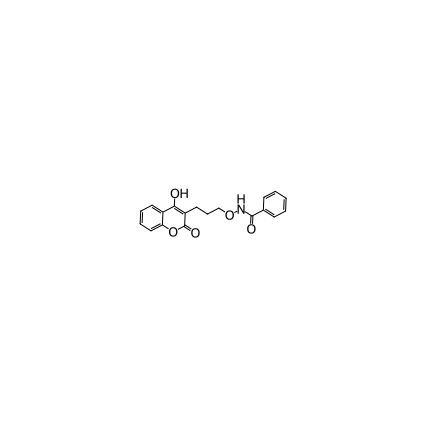 O=C(NOCCCc1c(O)c2ccccc2oc1=O)c1ccccc1